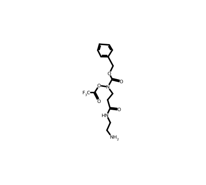 NCCNC(=O)CCN(OC(=O)C(F)(F)F)C(=O)OCc1ccccc1